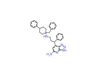 Nc1cc(C(CCNC2(Cc3ccccc3)CCC(c3ccccc3)CC2)c2ccccc2)c2nn[nH]c2n1